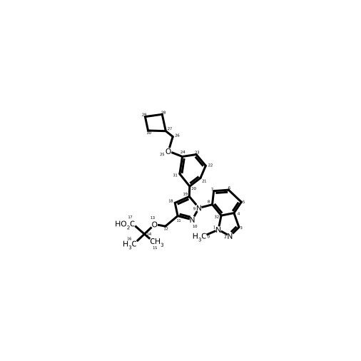 Cn1ncc2cccc(-n3nc(COC(C)(C)C(=O)O)cc3-c3cccc(OCC4CCC4)c3)c21